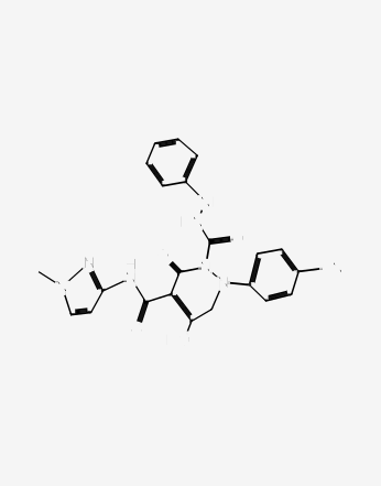 Cn1ccc(NC(=O)C2=C(O)CN(c3ccc(C#N)cc3)N(C(=O)NNc3ccccc3)C2=O)n1